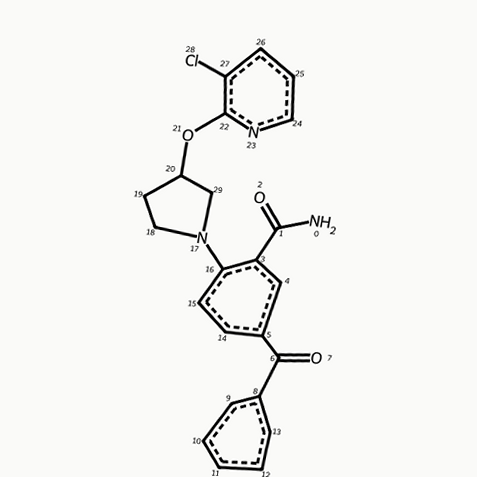 NC(=O)c1cc(C(=O)c2ccccc2)ccc1N1CCC(Oc2ncccc2Cl)C1